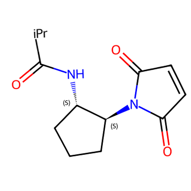 CC(C)C(=O)N[C@H]1CCC[C@@H]1N1C(=O)C=CC1=O